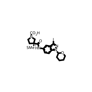 CS[C@@]1(C(=O)Nc2ccc3c(c2)c(I)nn3C2CCCCO2)CCN(C(=O)O)C1